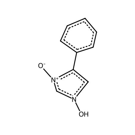 [O-][n+]1cn(O)cc1-c1ccccc1